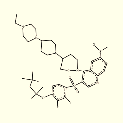 CCN1CCN(C2CCN(C3CCN(c4c(S(=O)(=O)c5ccc(OC(C)(C)CC(C)(C)C)c(F)c5F)cnc5ccc([S+](C)[O-])cc45)CC3)CC2)CC1